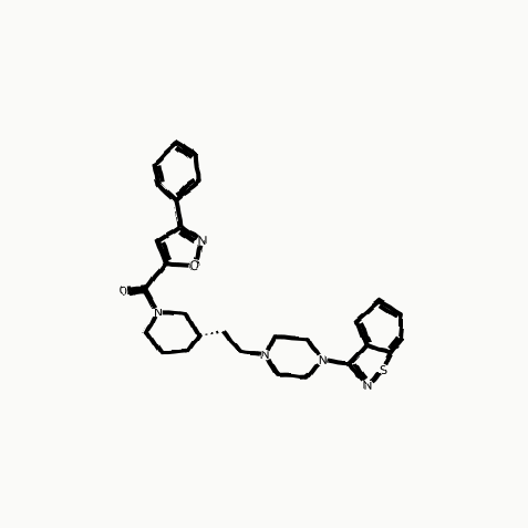 O=C(c1cc(-c2ccccc2)no1)N1CCC[C@@H](CCN2CCN(c3nsc4ccccc34)CC2)C1